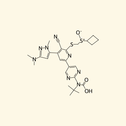 CN(C)c1cc(-c2cc(-c3cnc(N(C(=O)O)C(C)(C)C)nc3)nc(SC[S+]([O-])C3CCC3)c2C#N)n(C)n1